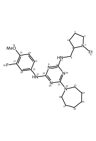 CCN1CCCC1CNc1nc(Nc2ccc(OC)c(F)c2)nc(N2CCCCCC2)n1